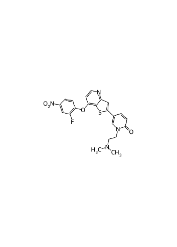 CN(C)CCn1cc(-c2cc3nccc(Oc4ccc([N+](=O)[O-])cc4F)c3s2)ccc1=O